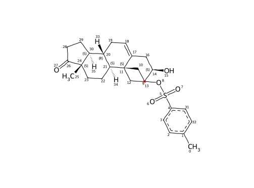 Cc1ccc(S(=O)(=O)OCC[C@]23CC[C@H](O)CC2=CC[C@@H]2[C@@H]3CC[C@]3(C)C(=O)CC[C@@H]23)cc1